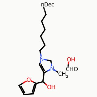 CCCCCCCCCCCCCCCCN1C=C(C(O)c2ccco2)N(C)C1.O=CO